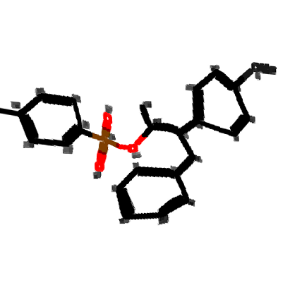 COc1ccc(/C(Cc2ccccc2)=C(\C)OS(=O)(=O)c2ccc(C)cc2)cc1